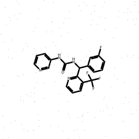 O=C(Nc1cccnc1)NC(c1cccc(F)c1)c1ncccc1C(F)(F)F